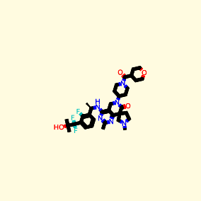 Cc1nc(N[C@H](C)c2cccc(C(F)(F)C(C)(C)O)c2F)c2c(n1)C1(CCN(C)C1)C(=O)N(C1CCN(C(=O)C3CCOCC3)CC1)C2